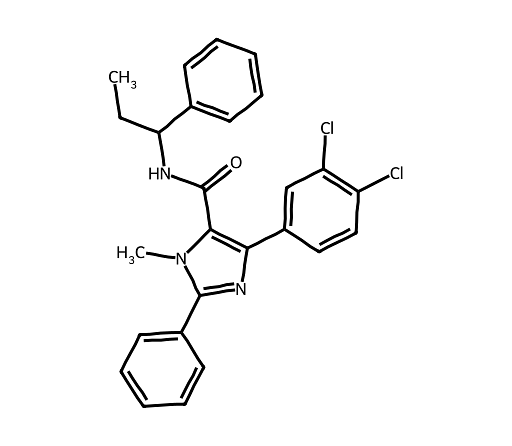 CCC(NC(=O)c1c(-c2ccc(Cl)c(Cl)c2)nc(-c2ccccc2)n1C)c1ccccc1